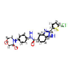 O=C(Nc1ccc(N2CCOCC2=O)cc1)c1ccc2[nH]c(-c3ccc(Cl)s3)nc2c1